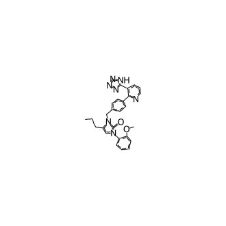 CCCc1cn(-c2ccccc2OC)c(=O)n1Cc1ccc(-c2ncccc2-c2nnn[nH]2)cc1